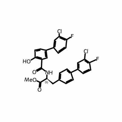 COC(=O)[C@H](Cc1ccc(-c2ccc(F)c(Cl)c2)cc1)NC(=O)c1cc(-c2ccc(F)c(Cl)c2)ccc1O